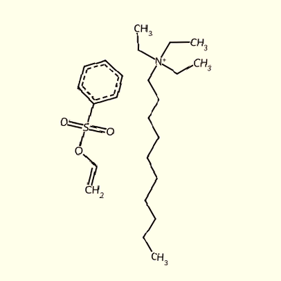 C=COS(=O)(=O)c1ccccc1.CCCCCCCCCC[N+](CC)(CC)CC